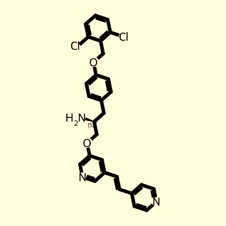 N[C@H](COc1cncc(C=Cc2ccncc2)c1)Cc1ccc(OCc2c(Cl)cccc2Cl)cc1